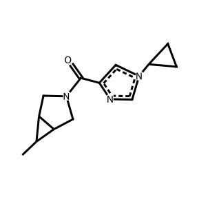 CC1C2CN(C(=O)c3cn(C4CC4)cn3)CC12